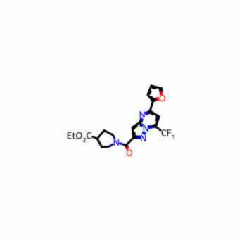 CCOC(=O)C1CCN(C(=O)c2cc3nc(-c4ccco4)cc(C(F)(F)F)n3n2)CC1